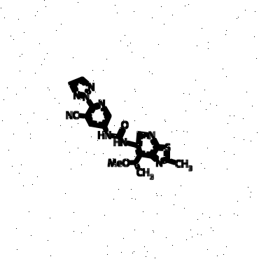 COC(C)c1c(NC(=O)Nc2cnc(-n3nccn3)c(C#N)c2)cnc2sc(C)nc12